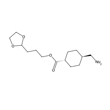 NC[C@H]1CC[C@H](C(=O)OCCCC2OCCO2)CC1